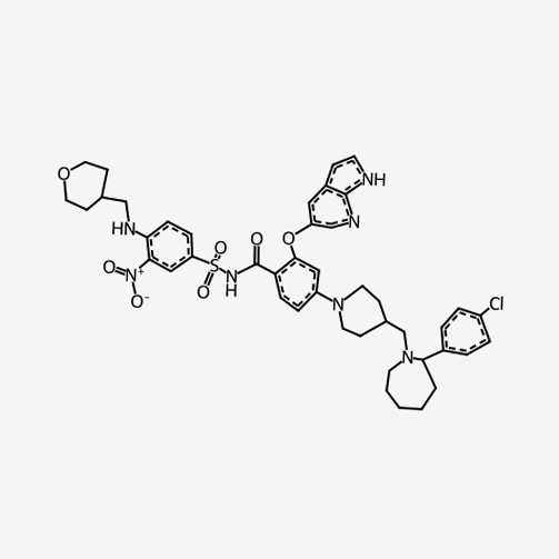 O=C(NS(=O)(=O)c1ccc(NCC2CCOCC2)c([N+](=O)[O-])c1)c1ccc(N2CCC(CN3CCCCCC3c3ccc(Cl)cc3)CC2)cc1Oc1cnc2[nH]ccc2c1